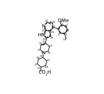 COc1ccc(F)cc1-c1ncnc2[nH]c(C3=CCN(C4CCC(C(=O)O)CC4)CC3)cc12